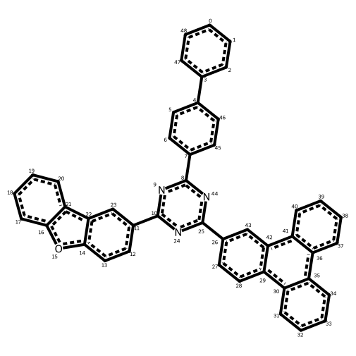 c1ccc(-c2ccc(-c3nc(-c4ccc5oc6ccccc6c5c4)nc(-c4ccc5c6ccccc6c6ccccc6c5c4)n3)cc2)cc1